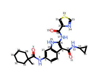 CC1(C(=O)Nc2ccc3c(C(=O)NC4CC4)c(NC(=O)c4cscn4)[nH]c3c2)CCCCC1